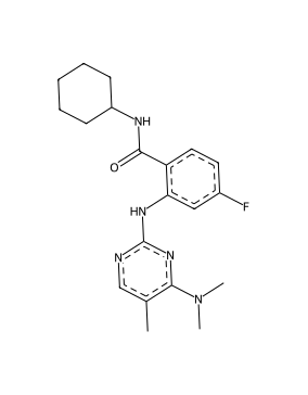 Cc1cnc(Nc2cc(F)ccc2C(=O)NC2CCCCC2)nc1N(C)C